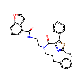 Cc1nc(C(=O)N(CCCc2ccccc2)CCNC(=O)c2cccc3occc23)c(-c2ccccc2)s1